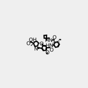 CC[C@@H]1C=CC[C@@H](NC(=O)c2cc(O[C@H]3CC[C@@](C)(C(=O)O)CC3)c(C#N)cc2OC)[C@H]1C(=O)NCC1(C)CCC1